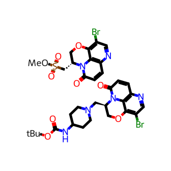 CC(C)(C)OC(=O)NC1CCN(C[C@@H]2COc3c(Br)cnc4ccc(=O)n2c34)CC1.COS(=O)(=O)C[C@@H]1COc2c(Br)cnc3ccc(=O)n1c23